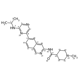 CC(C)Nc1cncc(-c2ccc3cnc(NC(=O)C4CCN(C)CC4)cc3c2)n1